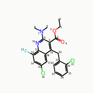 CCOC(=O)c1c(N(C)C)nc2c(F)cc(Cl)cc2c1Cc1ccccc1Cl